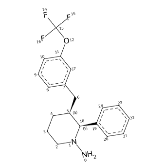 NN1CCC[C@@H](Cc2cccc(OC(F)(F)F)c2)[C@H]1c1ccccc1